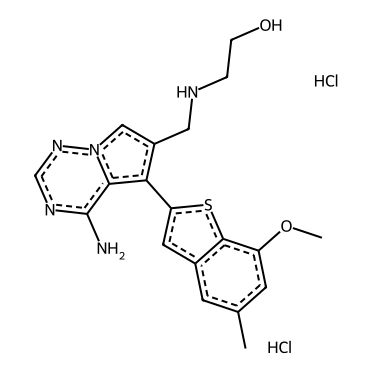 COc1cc(C)cc2cc(-c3c(CNCCO)cn4ncnc(N)c34)sc12.Cl.Cl